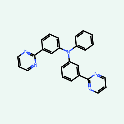 c1ccc(N(c2cccc(-c3ncccn3)c2)c2cccc(-c3ncccn3)c2)cc1